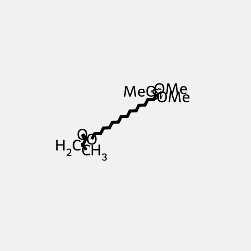 C=C(C)C(=O)OCCCCCCCCCCCCCC[Si](OC)(OC)OC